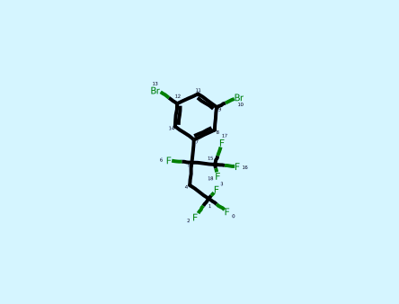 FC(F)(F)CC(F)(c1cc(Br)[c]c(Br)c1)C(F)(F)F